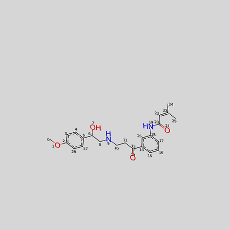 COc1ccc(C(O)CNCCC(=O)c2cccc(NC(=O)C=C(C)C)c2)cc1